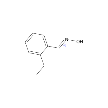 CCc1ccccc1/C=N/O